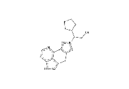 N#CCC(C1CCCC1)n1nc2c(n1)-c1ncnc3[nH]cc(c13)C2